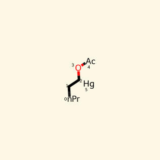 CCCCCOC(C)=O.[Hg]